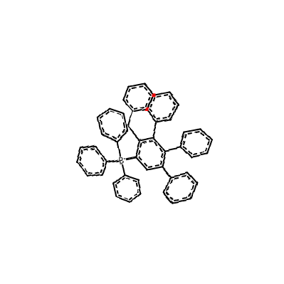 c1ccc(Cc2c([B-](c3ccccc3)(c3ccccc3)c3ccccc3)cc(-c3ccccc3)c(-c3ccccc3)c2-c2ccccc2)cc1